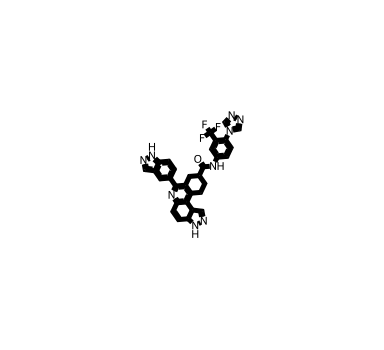 O=C(Nc1ccc(-n2cnnc2)c(C(F)(F)F)c1)C1CCc2c(c(-c3ccc4[nH]ncc4c3)nc3c2C2C=NNC2C=C3)C1